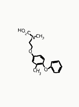 Cc1cc(OCCN(C)C(=O)O)ccc1Oc1ccccc1